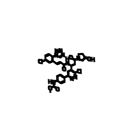 COC(=O)Nc1ccc(-c2cc(C(CC(=O)N3CC[C@@H](O)C3)NC(=O)C=Cc3cc(Cl)ccc3-n3cnnn3)c(Cl)nn2)cc1